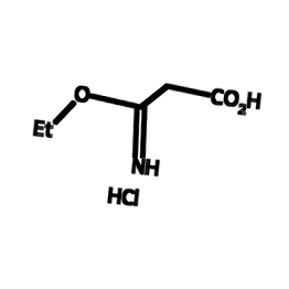 CCOC(=N)CC(=O)O.Cl